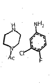 CC(=O)N1CCNCC1.Nc1ccc(F)c(Cl)c1